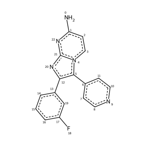 Nc1ccn2c(-c3ccncc3)c(-c3cccc(F)c3)nc2n1